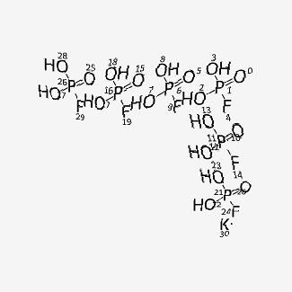 O=P(O)(O)F.O=P(O)(O)F.O=P(O)(O)F.O=P(O)(O)F.O=P(O)(O)F.O=P(O)(O)F.[K]